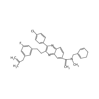 C=C(C)Cc1cc(F)cc(CCc2nc3cc(C(=C)N(C)CC4=CCCC=C4)ccc3nc2-c2ccc(Cl)cc2)c1